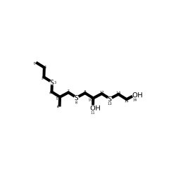 CCCSCC(C)CSCC(O)CSCCO